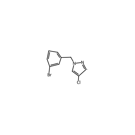 Clc1[c]nn(Cc2cccc(Br)c2)c1